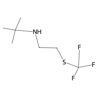 CC(C)(C)NCCSC(F)(F)F